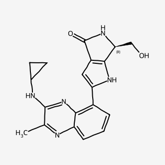 Cc1nc2cccc(-c3cc4c([nH]3)[C@H](CO)NC4=O)c2nc1NC1CC1